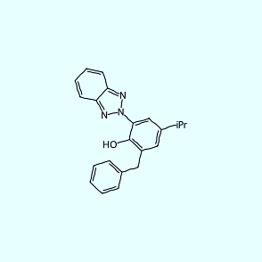 CC(C)c1cc(Cc2ccccc2)c(O)c(-n2nc3ccccc3n2)c1